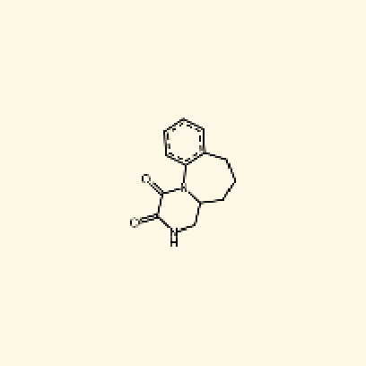 O=C1NCC2CCCc3ccccc3N2C1=O